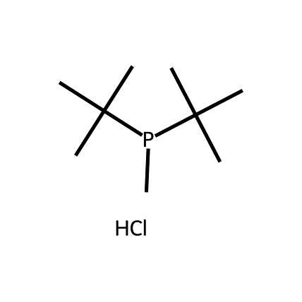 CP(C(C)(C)C)C(C)(C)C.Cl